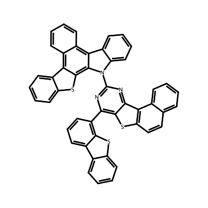 c1ccc2c(c1)ccc1sc3c(-c4cccc5c4sc4ccccc45)nc(-n4c5ccccc5c5c6ccccc6c6c7ccccc7sc6c54)nc3c12